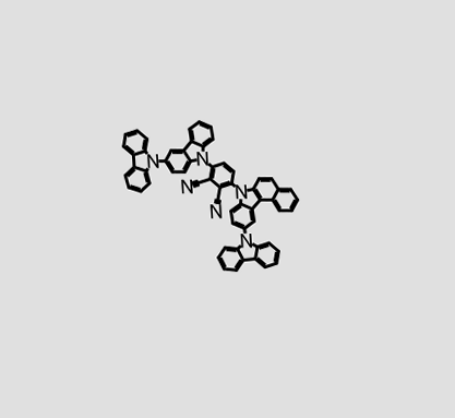 N#Cc1c(-n2c3ccccc3c3cc(-n4c5ccccc5c5ccccc54)ccc32)ccc(-n2c3ccc(-n4c5ccccc5c5ccccc54)cc3c3c4ccccc4ccc32)c1C#N